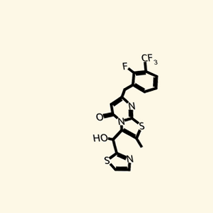 Cc1sc2nc(Cc3cccc(C(F)(F)F)c3F)cc(=O)n2c1C(O)c1nccs1